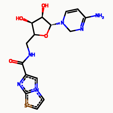 NC1=NCN([C@@H]2OC(CNC(=O)c3cn4ccsc4n3)[C@@H](O)[C@H]2O)C=C1